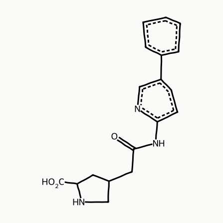 O=C(CC1CNC(C(=O)O)C1)Nc1ccc(-c2ccccc2)cn1